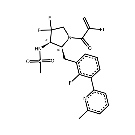 C=C(CC)C(=O)N1CC(F)(F)[C@H](NS(C)(=O)=O)[C@@H]1Cc1cccc(-c2cccc(C)n2)c1F